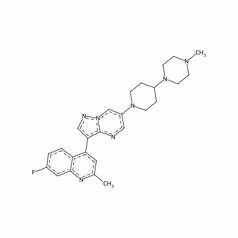 Cc1cc(-c2cnn3cc(N4CCC(N5CCN(C)CC5)CC4)cnc23)c2ccc(F)cc2n1